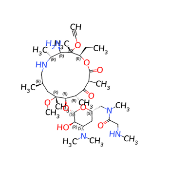 C#CO[C@@]1(C)[C@H](N)[C@@H](C)NC[C@H](C)C[C@@](C)(OC)[C@H](O[C@@H]2O[C@H](CN(C)C(=O)CNC)C[C@H](N(C)C)[C@H]2O)[C@@H](C)C(=O)C(C)C(=O)O[C@@H]1CC